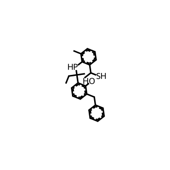 CCC(C)(Pc1c(C)cccc1C(C)S)c1cccc(Cc2ccccc2)c1O